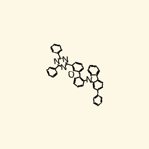 c1ccc(-c2ccc3c4ccccc4n(-c4cccc5oc6c(-c7nc(-c8ccccc8)nc(-c8ccccc8)n7)cccc6c45)c3c2)cc1